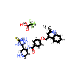 Cc1cc(COc2ccc(C(=O)NC3CCNCC3c3n[nH]c(=S)[nH]3)cc2)c2ccccc2n1.O=C(O)C(F)(F)F